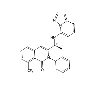 C[C@H](Nc1ccnc2ccnn12)c1cc2cccc(C(F)(F)F)c2c(=O)n1-c1ccccc1